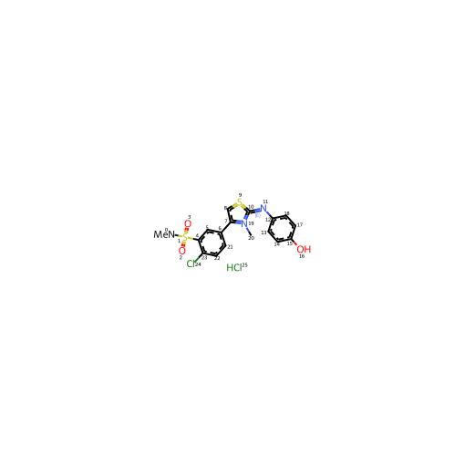 CNS(=O)(=O)c1cc(-c2cs/c(=N/c3ccc(O)cc3)n2C)ccc1Cl.Cl